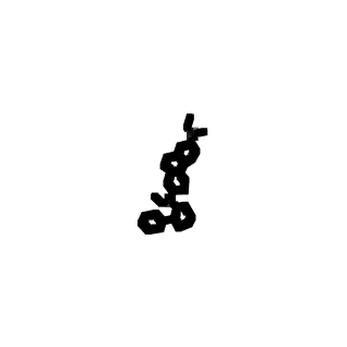 CCN(C)c1ccc2c(ccc3cc(N(CC)c4ccccc4-c4ccccc4)ccc32)c1